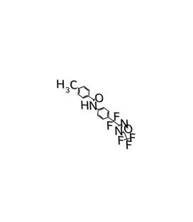 Cc1ccc(C(=O)Nc2ccc(C(F)(F)c3noc(C(F)(F)F)n3)cc2)cc1